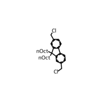 CCCCCCCCC1(CCCCCCCC)c2cc(CCl)ccc2-c2ccc(CCl)cc21